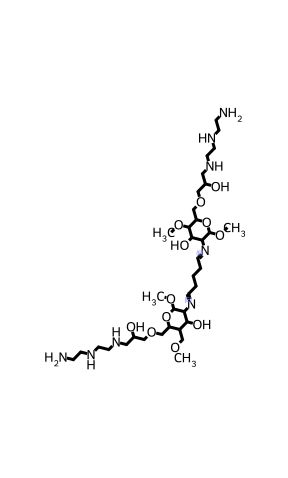 COCC1C(COCC(O)CNCCNCCN)OC(OC)C(/N=C/CCC/C=N/C2C(OC)OC(COCC(O)CNCCNCCN)C(OC)C2O)C1O